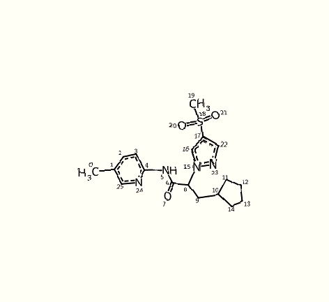 Cc1ccc(NC(=O)C(CC2CCCC2)n2cc(S(C)(=O)=O)cn2)nc1